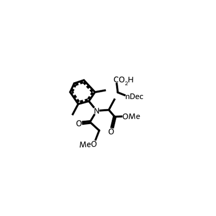 CCCCCCCCCCCC(=O)O.COCC(=O)N(c1c(C)cccc1C)C(C)C(=O)OC